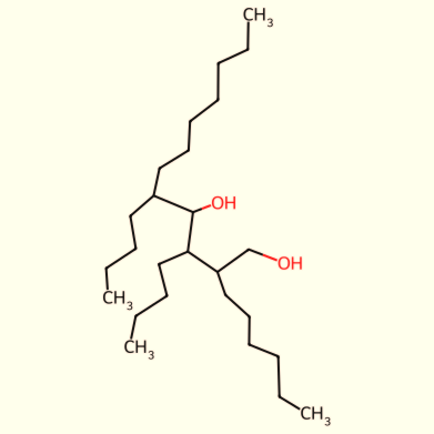 CCCCCCCC(CCCC)C(O)C(CCCC)C(CO)CCCCCC